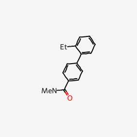 CCc1ccccc1-c1ccc(C(=O)NC)cc1